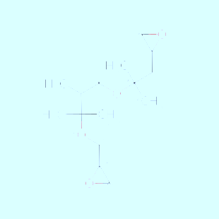 CC(COC(C)(C)CC1CO1)C(C)(C)OCC1CO1